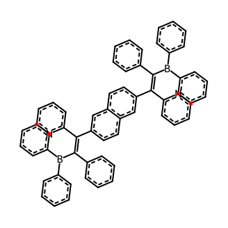 c1ccc(B(/C(=C(/c2ccc3cc(/C(=C(/B(c4ccccc4)c4ccccc4)c4ccccc4)c4ccccn4)ccc3c2)c2ccccn2)c2ccccc2)c2ccccc2)cc1